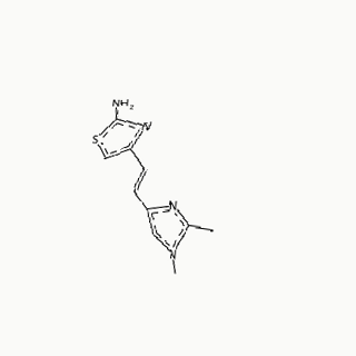 Cc1nc(/C=C/c2csc(N)n2)cn1C